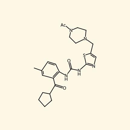 CC(=O)N1CCN(Cc2cnc(NC(=O)Nc3ccc(C)cc3C(=O)C3CCCC3)s2)CC1